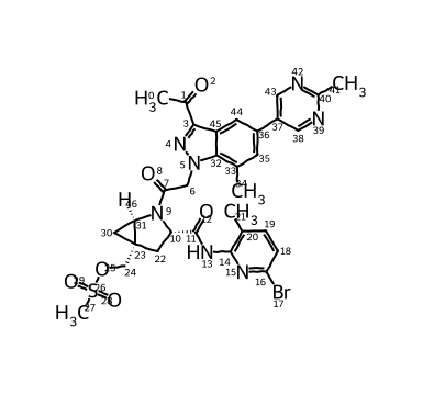 CC(=O)c1nn(CC(=O)N2[C@H](C(=O)Nc3nc(Br)ccc3C)C[C@@]3(COS(C)(=O)=O)C[C@@H]23)c2c(C)cc(-c3cnc(C)nc3)cc12